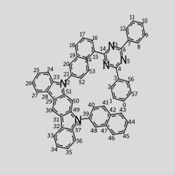 c1ccc(-c2nc(-c3ccccc3)nc(-c3cccc4cc(-n5c6ccccc6c6cc7c8ccccc8n(-c8ccc9ccccc9c8)c7cc65)ccc34)n2)cc1